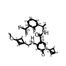 COC12CC(CNc3cc(=O)n(C45CC(C4)C5)cc3C(=O)NC(C)c3cccc(C(F)F)c3F)(C1)C2